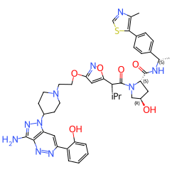 Cc1ncsc1-c1ccc([C@H](C)NC(=O)[C@@H]2C[C@@H](O)CN2C(=O)C(c2cc(OCCN3CCC(n4nc(N)c5nnc(-c6ccccc6O)cc54)CC3)no2)C(C)C)cc1